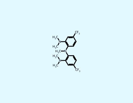 CN(C)c1cc(C(F)(F)F)ccc1N(C)c1ccc(C(F)(F)F)cc1N(C)C